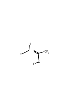 ClCCl.O=C(OF)C(F)(F)F